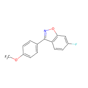 Fc1ccc2c(-c3ccc(OC(F)(F)F)cc3)noc2c1